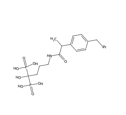 CC(C)Cc1ccc(C(C)C(=O)NCCCC(O)(P(=O)(O)O)P(=O)(O)O)cc1